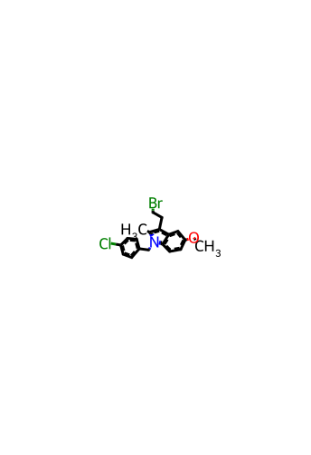 COc1ccc2c(c1)c(CCBr)c(C)n2Cc1ccc(Cl)cc1